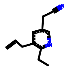 C=CCc1cc(CC#N)cnc1CC